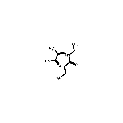 C=C(C)C(=O)O.CCNC(=O)CCN